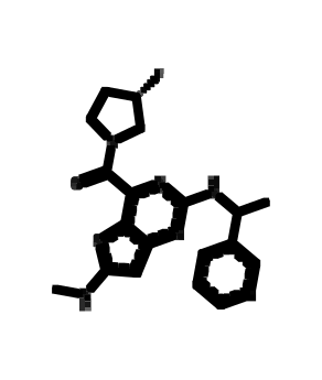 CNc1cc2nc(NC(C)c3cccnc3)nc(C(=O)N3CC[C@H](F)C3)c2s1